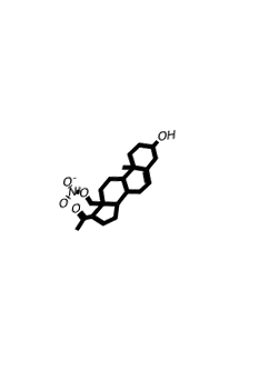 CC(=O)C1CCC2C3CC=C4CC(O)CCC4(C)C3CCC12CO[N+](=O)[O-]